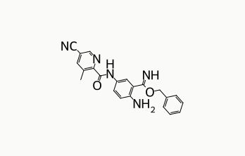 Cc1cc(C#N)cnc1C(=O)Nc1ccc(N)c(C(=N)OCc2ccccc2)c1